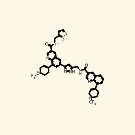 O=C(NCc1ccn[nH]1)c1cnc2c(C3=CC[C@@H](C(F)(F)F)CC3)cc(-c3cc(CNC(=O)c4cnc5c(C6=CC[C@H](C(F)(F)F)CC6)cccc5c4)[nH]n3)cc2c1